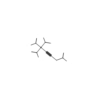 CC(C)CC#CC(C(C)C)(C(C)C)C(C)C